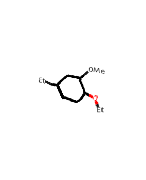 CCOC1CCC(CC)CC1OC